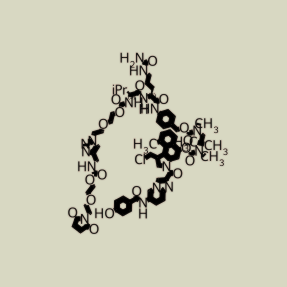 Cc1cccc2c(OC(=O)N(C)C(C)(C)CN(C)C(=O)OCc3ccc(NC(=O)[C@H](CCCNC(N)=O)NC(=O)[C@@H](NC(=O)OCCOCCn4cc(CNC(=O)OCCOCCN5C(=O)C=CC5=O)nn4)C(C)C)cc3)cc3c(c12)C(CCl)CN3C(=O)c1cn2cc(NC(=O)c3ccc(O)cc3)ccc2n1